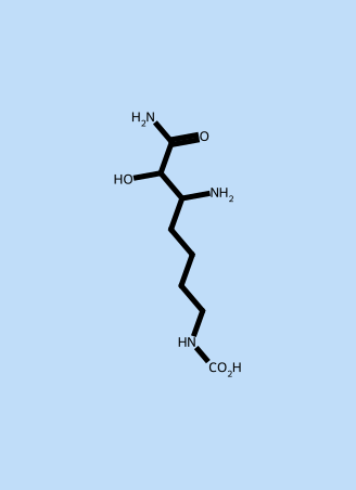 NC(=O)C(O)C(N)CCCCNC(=O)O